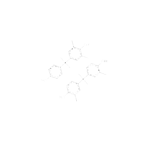 Cc1cc(C(C)(C)c2ccc(O)c(C)c2)ccc1O.Cc1cc(C(C)(C)c2ccc(O)cc2)cc(C)c1O